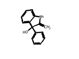 C=C1Nc2ccccc2C1(O)c1ccccc1